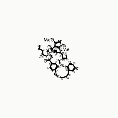 C=CC[C@H](C)C[S@](=O)(=NC(=O)c1ccc2c(c1)N(C[C@@H]1CC[C@H]1[C@H](C=C)OC)Cc1ccc(Cl)cc1CCCCO2)NC(=O)c1cn(C)nc1OC